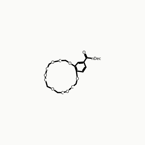 CCCCCCCCCCC(=O)c1ccc2c(c1)OCCOCCOCCOCCOCCO2